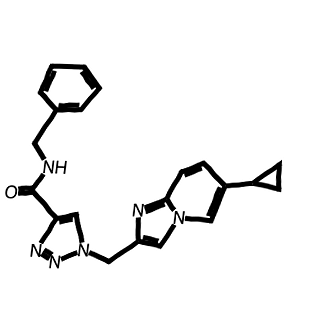 O=C(NCc1ccccc1)c1cn(Cc2cn3cc(C4CC4)ccc3n2)nn1